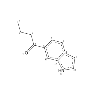 CCCC(=O)c1ccc2cc[nH]c2c1